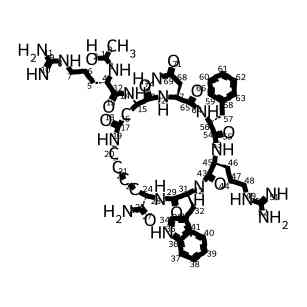 CC(O)N[C@@H](CCCNC(=N)N)C(=O)N[C@H]1CC(=O)NCCCC[C@@H](C(N)=O)NC(=O)[C@H](Cc2c[nH]c3ccccc23)NC(=O)[C@H](CCCNC(=N)N)NC(=O)[C@@H](Cc2ccccc2)NC(=O)[C@H](CC(N)=O)NC1=O